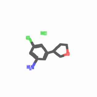 Cl.Nc1cc(Cl)cc(C2CCOC2)c1